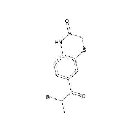 CC(Br)C(=O)c1ccc2c(c1)SCC(=O)N2